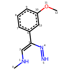 CN/C=C(\N=N)c1cccc(OC)c1